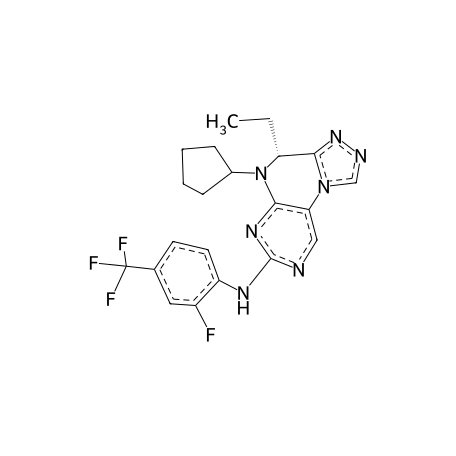 CC[C@@H]1c2nncn2-c2cnc(Nc3ccc(C(F)(F)F)cc3F)nc2N1C1CCCC1